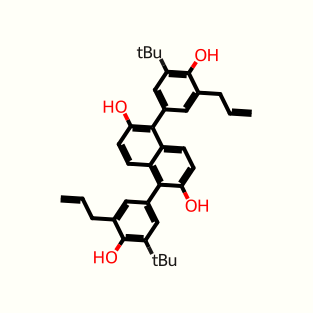 C=CCc1cc(-c2c(O)ccc3c(-c4cc(CC=C)c(O)c(C(C)(C)C)c4)c(O)ccc23)cc(C(C)(C)C)c1O